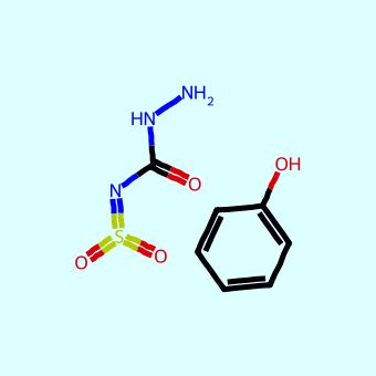 NNC(=O)N=S(=O)=O.Oc1ccccc1